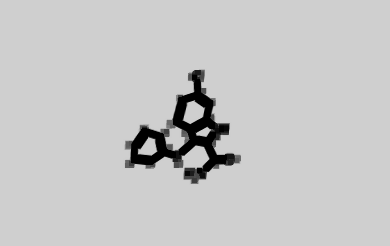 NC(=O)c1[nH]c2cc(Cl)ccc2c1Sc1ccccc1